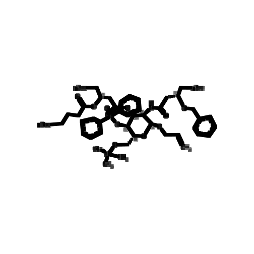 C=CCO[C@H]1O[C@H](CO[Si](C)(C)C(C)(C)C)[C@@H](OP(=O)(c2ccccc2)c2ccccc2)[C@H](OC(=O)C[C@@H](CCCCCCCCCCC)OC(=O)CCCCCCCCCCCCC)[C@H]1NC(=O)C[C@H](CCCCCCCCCCC)OCc1ccccc1